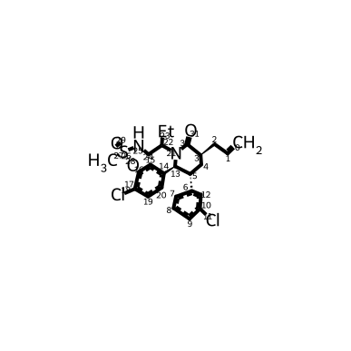 C=CC[C@H]1C[C@H](c2cccc(Cl)c2)[C@@H](c2ccc(Cl)cc2)N(C(CC)CNS(C)(=O)=O)C1=O